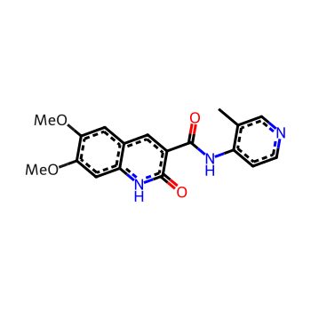 COc1cc2cc(C(=O)Nc3ccncc3C)c(=O)[nH]c2cc1OC